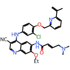 C=C(C)c1cccc(COc2ccc(Nc3c(C#N)cnc4cc(OCC)c(NC(=O)/C=C/CN(C)C)cc34)cc2Cl)n1